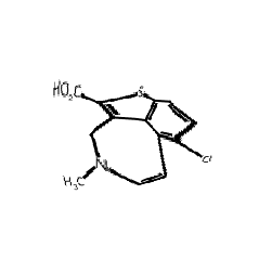 CN1C=Cc2c(Cl)ccc3sc(C(=O)O)c(c23)C1